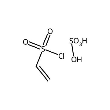 C=CS(=O)(=O)Cl.O=S(=O)(O)O